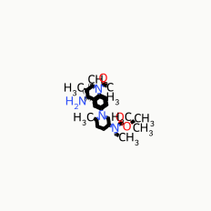 CCN(C(=O)OC(C)(C)C)C1CCC(C)N(c2ccc3c(c2)[C@H](N)[C@@H](C)[C@H](C)N3C(C)=O)C1